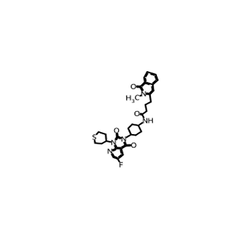 Cn1c(CCCC(=O)NC2CCC(n3c(=O)c4cc(F)cnc4n(C4CCSCC4)c3=O)CC2)cc2ccccc2c1=O